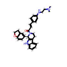 CN(C)CCNc1ccc(/C=C/C(=O)N2CCc3c([nH]c4ccccc34)[C@H]2c2ccc3c(c2)CCO3)cc1